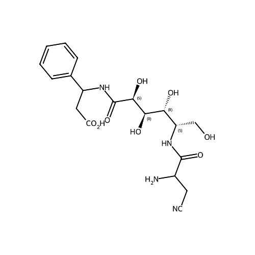 N#CCC(N)C(=O)N[C@@H](CO)[C@@H](O)[C@@H](O)[C@H](O)C(=O)NC(CC(=O)O)c1ccccc1